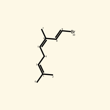 CC(C)=CC/C=C(C)\C=C\Br